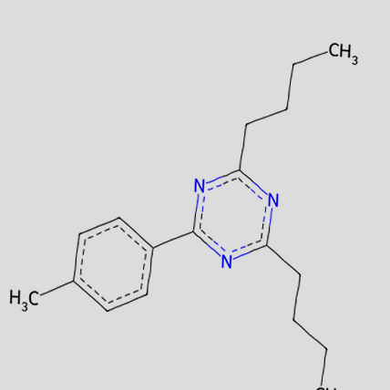 CCCCc1nc(CCCC)nc(-c2ccc(C)cc2)n1